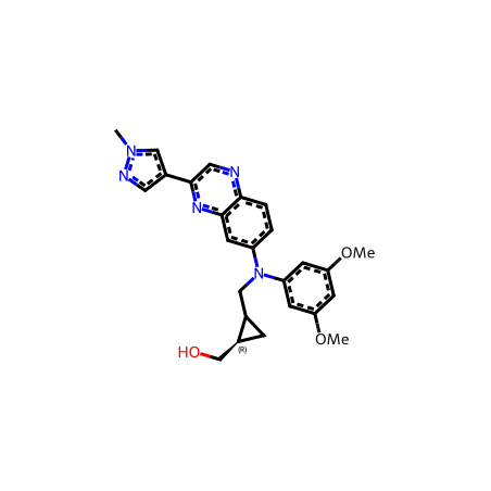 COc1cc(OC)cc(N(CC2C[C@H]2CO)c2ccc3ncc(-c4cnn(C)c4)nc3c2)c1